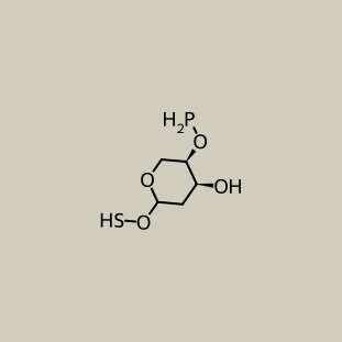 O[C@H]1CC(OS)OC[C@H]1OP